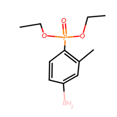 Bc1ccc(P(=O)(OCC)OCC)c(C)c1